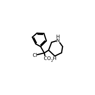 O=C(O)C(Cl)(c1ccccc1)C1CCCNC1